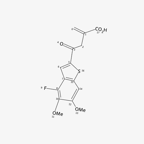 C=C(CC(=O)c1cc2c(F)c(OC)c(OC)cc2s1)C(=O)O